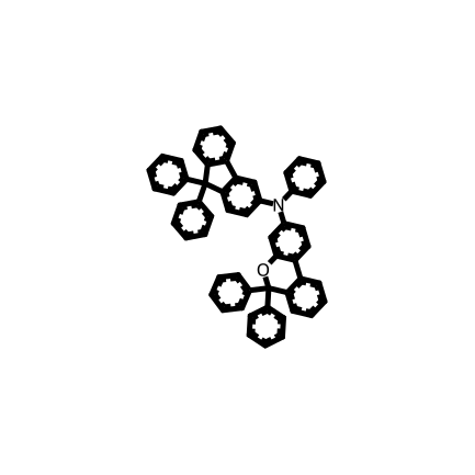 c1ccc(N(c2ccc3c(c2)OC(c2ccccc2)(c2ccccc2)c2ccccc2-3)c2ccc3c(c2)-c2ccccc2C3(c2ccccc2)c2ccccc2)cc1